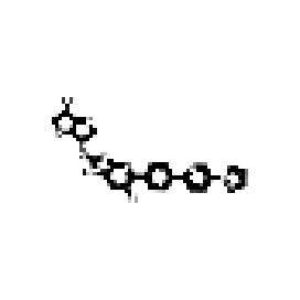 O[C@@H]1COC2C1OC[C@H]2Oc1nc2nc(-c3ccc(-c4ccc(-n5cccn5)cn4)cc3)c(Cl)cc2[nH]1